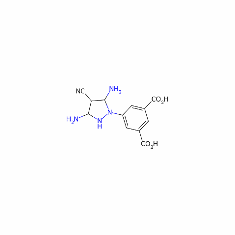 N#CC1C(N)NN(c2cc(C(=O)O)cc(C(=O)O)c2)C1N